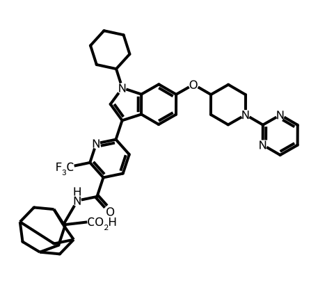 O=C(NC1(C(=O)O)C2CCC3CC(C2)CC1C3)c1ccc(-c2cn(C3CCCCC3)c3cc(OC4CCN(c5ncccn5)CC4)ccc23)nc1C(F)(F)F